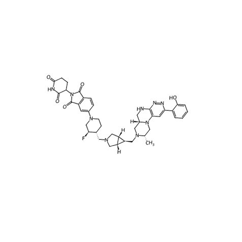 C[C@H]1CN2c3cc(-c4ccccc4O)nnc3NC[C@H]2CN1C[C@H]1[C@@H]2CN(C[C@H]3CCN(c4ccc5c(c4)C(=O)N(C4CCC(=O)NC4=O)C5=O)C[C@@H]3F)C[C@@H]21